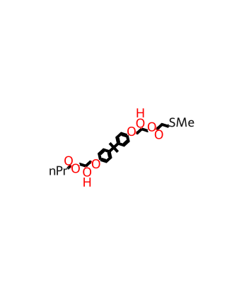 CCCC(=O)OCC(O)COc1ccc(C(C)(C)c2ccc(OCC(O)COC(=O)CCSC)cc2)cc1